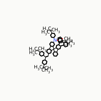 CC(C)(C)c1ccc(C(=Cc2ccc3c(c2)C2(c4ccccc4-c4cc5c6ccccc6c6ccccc6c5cc42)c2cc(N(c4ccc(C(C)(C)C)cc4)c4ccc(C(C)(C)C)cc4)ccc2-3)c2ccc(C(C)(C)C)cc2)cc1